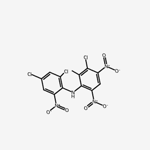 Cc1c(Cl)c([N+](=O)[O-])cc([N+](=O)[O-])c1Nc1c(Cl)cc(Cl)cc1[N+](=O)[O-]